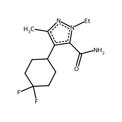 CCn1nc(C)c(C2CCC(F)(F)CC2)c1C(N)=O